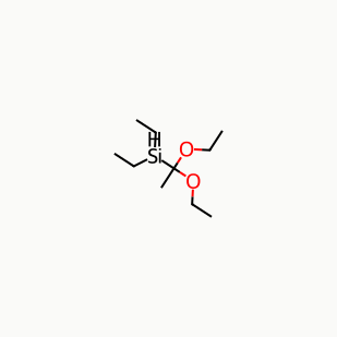 CCOC(C)(OCC)[SiH](CC)CC